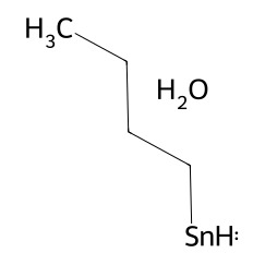 CCC[CH2][SnH].O